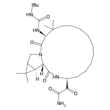 CC(C)(C)NC(=O)N[C@@H]1C(=O)N2CC3[C@@H]([C@H]2C(=O)N[C@H](C(=O)C(N)=O)CCCCCCCCCC1(C)C)C3(C)C